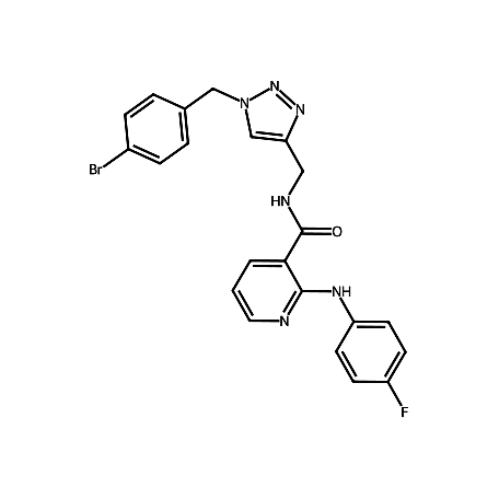 O=C(NCc1cn(Cc2ccc(Br)cc2)nn1)c1cccnc1Nc1ccc(F)cc1